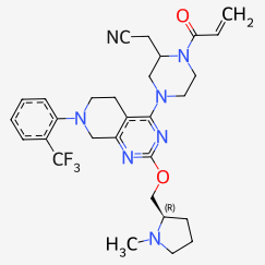 C=CC(=O)N1CCN(c2nc(OC[C@H]3CCCN3C)nc3c2CCN(c2ccccc2C(F)(F)F)C3)CC1CC#N